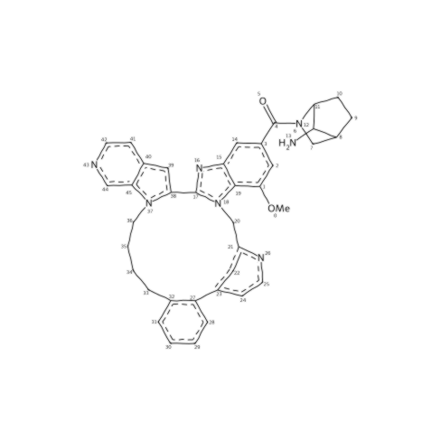 COc1cc(C(=O)N2CC3CCC2C3N)cc2nc3n(c12)Cc1cc(ccn1)-c1ccccc1CCCCn1c-3cc2ccncc21